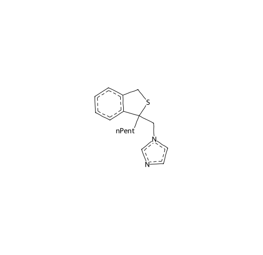 CCCCCC1(Cn2ccnc2)SCc2ccccc21